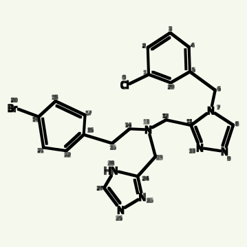 Clc1cccc(Cn2cnnc2CN(CCc2ccc(Br)cc2)Cc2nnc[nH]2)c1